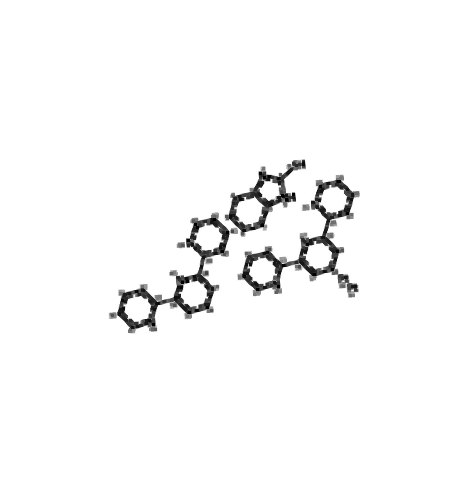 Sc1nc2ccccc2[nH]1.[Pt].[Pt].c1ccc(-c2cccc(-c3ccccn3)n2)nc1.c1ccc(-c2cccc(-c3ccccn3)n2)nc1